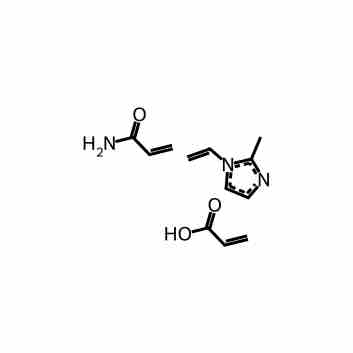 C=CC(=O)O.C=CC(N)=O.C=Cn1ccnc1C